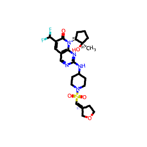 C[C@@]1(O)CCC[C@H]1n1c(=O)c(C(F)F)cc2cnc(NC3CCN(S(=O)(=O)/C=C4\CCOC4)CC3)nc21